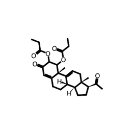 CCC(=O)OC1C(=O)C=C2CC[C@@H]3C(=CC[C@]4(C)[C@@H](C(C)=O)CC[C@@H]34)[C@@]2(C)C1OC(=O)CC